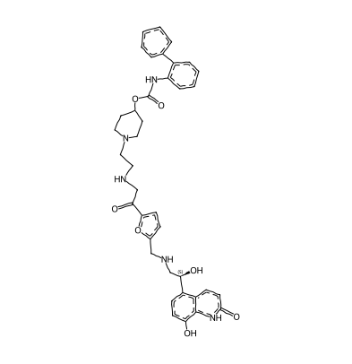 O=C(Nc1ccccc1-c1ccccc1)OC1CCN(CCNCC(=O)c2ccc(CNC[C@@H](O)c3ccc(O)c4[nH]c(=O)ccc34)o2)CC1